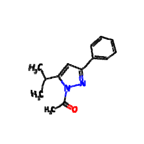 CC(=O)n1nc(-c2ccccc2)cc1C(C)C